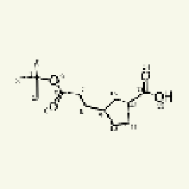 CC(C)(C)OC(=O)CCC1CCC(C(=O)O)C1